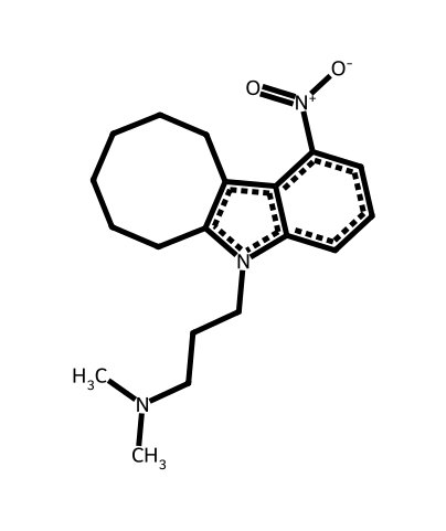 CN(C)CCCn1c2c(c3c([N+](=O)[O-])cccc31)CCCCCC2